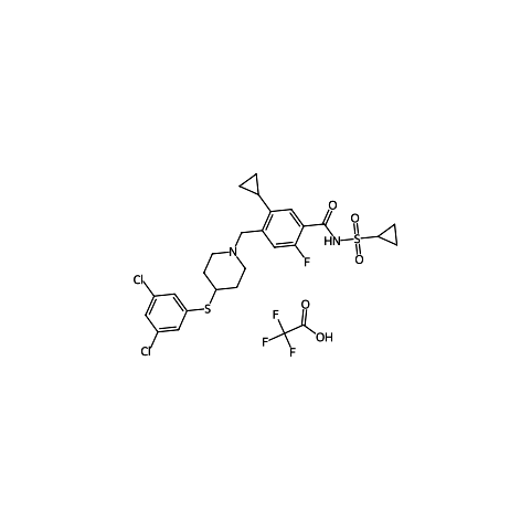 O=C(NS(=O)(=O)C1CC1)c1cc(C2CC2)c(CN2CCC(Sc3cc(Cl)cc(Cl)c3)CC2)cc1F.O=C(O)C(F)(F)F